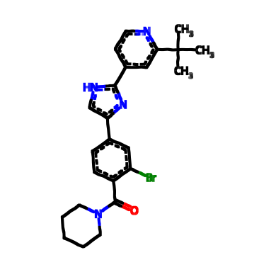 CC(C)(C)c1cc(-c2nc(-c3ccc(C(=O)N4CCCCC4)c(Br)c3)c[nH]2)ccn1